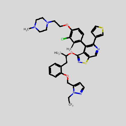 Cc1c(-c2c(-c3ccsc3)ncc3snc(OC(Cc4ccccc4OCc4ccnn4CC(F)(F)F)C(=O)O)c23)ccc(OCCN2CCN(C)CC2)c1Cl